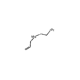 C=C[CH2][Mg][CH2]CCCC